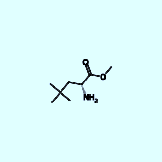 COC(=O)[C@H](N)CC(C)(C)C